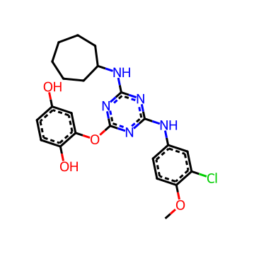 COc1ccc(Nc2nc(NC3CCCCCC3)nc(Oc3cc(O)ccc3O)n2)cc1Cl